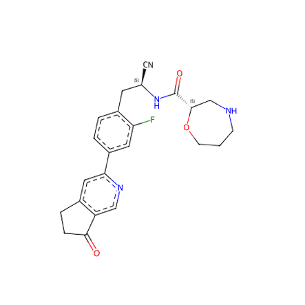 N#C[C@H](Cc1ccc(-c2cc3c(cn2)C(=O)CC3)cc1F)NC(=O)[C@@H]1CNCCCO1